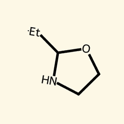 C[CH]C1NCCO1